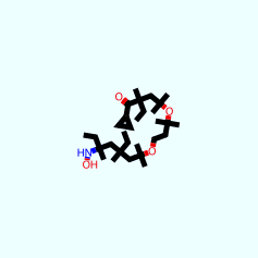 CCC(C)(CC(C)(CC)NO)CC(C)(C)OCCC(C)(C)OC(C)(C)CC(C)(CC)C(=O)C1CC1